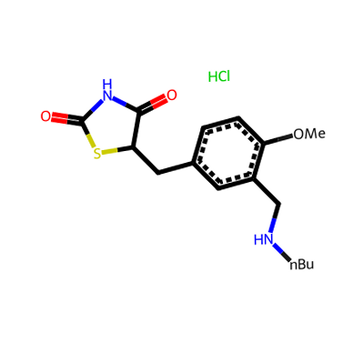 CCCCNCc1cc(CC2SC(=O)NC2=O)ccc1OC.Cl